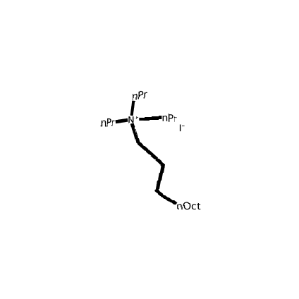 CCCCCCCCCCC[N+](CCC)(CCC)CCC.[I-]